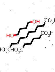 O=C(O)CCCCC(=O)O.O=C(O)CCCCCCCCC(=O)O.OCCCCO